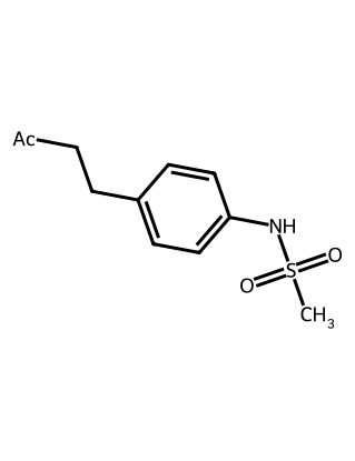 CC(=O)CCc1ccc(NS(C)(=O)=O)cc1